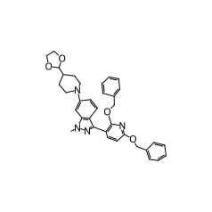 Cn1nc(-c2ccc(OCc3ccccc3)nc2OCc2ccccc2)c2ccc(N3CCC(C4OCCO4)CC3)cc21